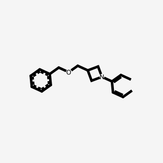 C/C=C\C(=C/C)N1CC(COCc2ccccc2)C1